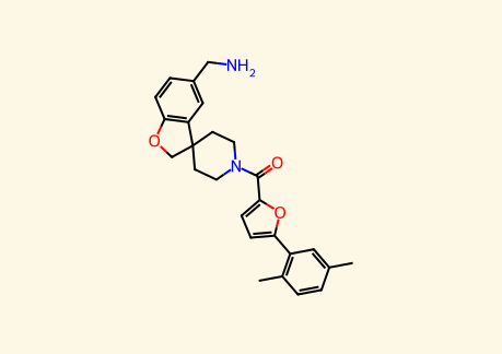 Cc1ccc(C)c(-c2ccc(C(=O)N3CCC4(CC3)COc3ccc(CN)cc34)o2)c1